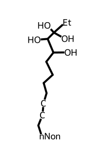 CCCCCCCCCCCCCCCCC(O)C(O)C(O)(O)CC